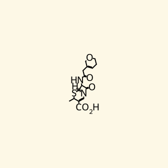 CC1S[C@@H]2C(NC(=O)CC3=CCCOC3)C(=O)N2C=C1C(=O)O